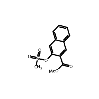 COC(=O)c1cc2ccccc2cc1OS(C)(=O)=O